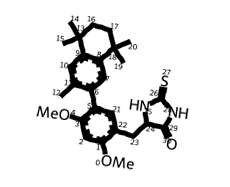 COc1cc(OC)c(-c2cc3c(cc2C)C(C)(C)CCC3(C)C)cc1CC1NC(=S)NC1=O